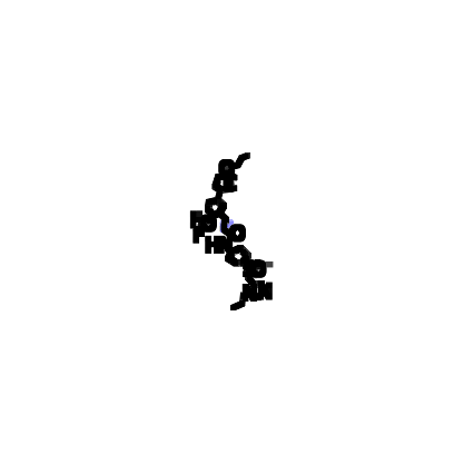 CCCOc1ccc(-c2ccc(OC(F)F)c(/C=C/C(=O)Nc3ccc([S@+]([O-])Cc4cncn4CCC)cc3)c2)cc1